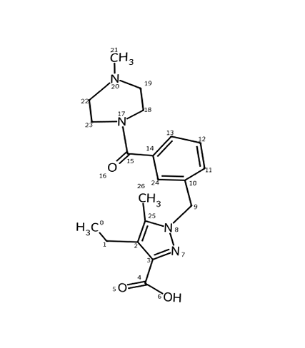 CCc1c(C(=O)O)nn(Cc2cccc(C(=O)N3CCN(C)CC3)c2)c1C